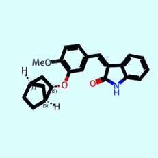 COc1ccc(/C=C2\C(=O)Nc3ccccc32)cc1O[C@H]1C[C@@H]2CC[C@H]1C2